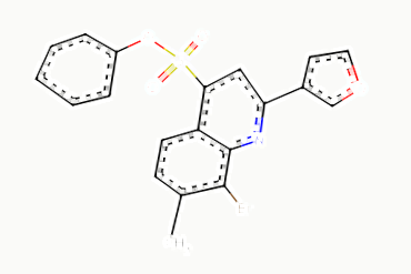 Cc1ccc2c(S(=O)(=O)Oc3ccccc3)cc(-c3ccoc3)nc2c1Br